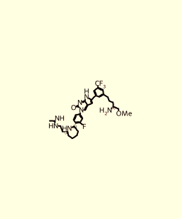 COC[C@H](N)CCCc1cc(-c2cc3cn(-c4ccc([C@@H]5CCCC[C@@H](CCNC(C)=N)N5)c(F)c4)c(=O)nc3[nH]2)cc(C(F)(F)F)c1